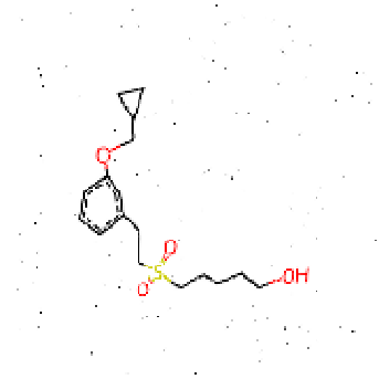 O=S(=O)(CCCCCO)CCc1cccc(OCC2CC2)c1